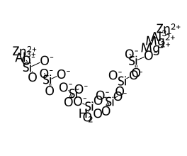 O.O=[Si]([O-])[O-].O=[Si]([O-])[O-].O=[Si]([O-])[O-].O=[Si]([O-])[O-].O=[Si]([O-])[O-].O=[Si]([O-])[O-].O=[Si]([O-])[O-].[Al+3].[Al+3].[Mg+2].[Mg+2].[Zn+2].[Zn+2]